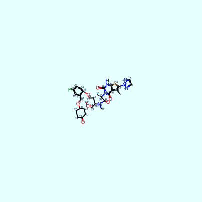 Cc1c(-n2nccn2)sc2[nH]c(=O)n([C@H](C)C(=O)N(C)C(C)CCOc3ccc(F)cc3[C@H](CO)OC3CCC(=O)CC3)c(=O)c12